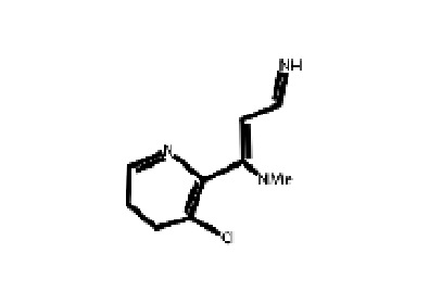 CN/C(=C\C=N)C1=C(Cl)CCC=N1